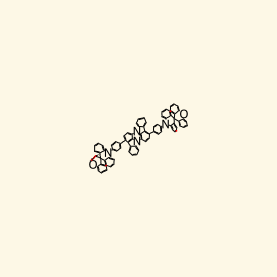 c1ccc2c(c1)Oc1ccccc1C21c2ccccc2N(c2ccc(-c3ccc4c5c3c3ccccc3n5c3ccc(-c5ccc(N6c7ccccc7C7(c8ccccc8Oc8ccccc87)c7ccccc76)cc5)c5c6ccccc6n4c53)cc2)c2ccccc21